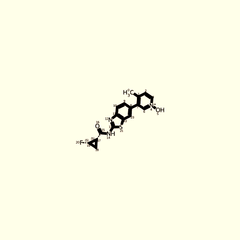 Cc1cc[n+](O)cc1-c1ccc2nc(NC(=O)[C@@H]3C[C@@H]3F)sc2c1